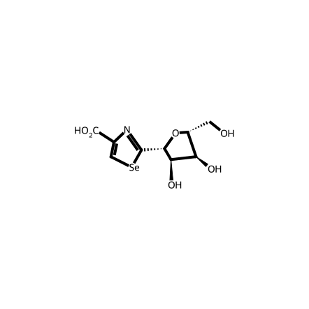 O=C(O)c1c[se]c([C@@H]2O[C@H](CO)[C@@H](O)[C@H]2O)n1